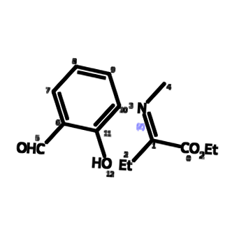 CCOC(=O)/C(CC)=N\C.O=Cc1ccccc1O